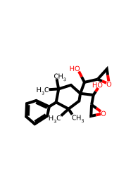 CC1(C)CC(C(O)C2CO2)(C(O)C2CO2)CC(C)(C)C1c1ccccc1